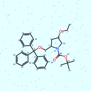 CCOC1CC(COC(c2ccccc2)(c2ccccc2)c2ccccc2)N(C(=O)OC(C)(C)C)C1